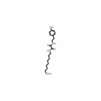 CCCCCCCCCCCCCCCCCCNC(=O)C(=O)NCCc1ccc(O)cc1